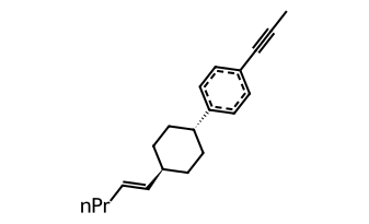 CC#Cc1ccc([C@H]2CC[C@H](/C=C/CCC)CC2)cc1